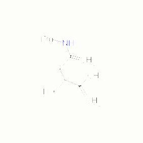 C=C(CC(C)C(=C)C)NC(C)(C)C